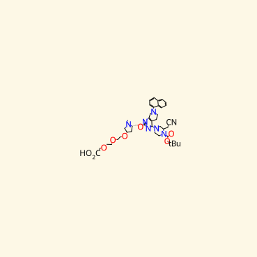 CN1C[C@H](OCCOCCOCC(=O)O)C[C@H]1COc1nc2c(c(N3CCN(C(=O)OC(C)(C)C)C(CC#N)C3)n1)CCN(c1cccc3ccccc13)C2